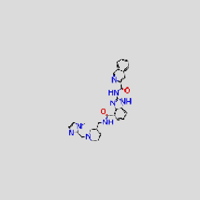 Cn1ccnc1CN1CCCC(CNC(=O)c2cccc3[nH]c(NC(=O)c4cc5ccccc5cn4)nc23)C1